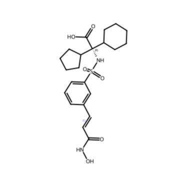 O=C(/C=C/c1cccc(S(=O)(=O)N[C@](C(=O)O)(C2CCCCC2)C2CCCC2)c1)NO